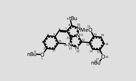 CCCCOc1ccc(/C=c2/c(C(C)(C)C)nn3c(-c4cc(OCCCC)ccc4OC)nnc23)c(C)c1